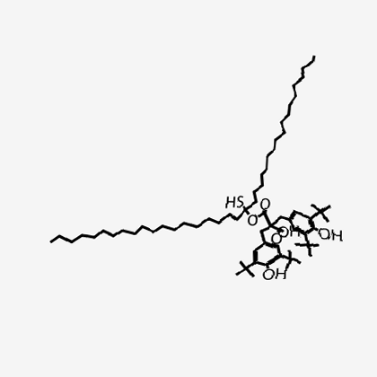 CCCCCCCCCCCCCCCCCCCC(S)(CCCCCCCCCCCCCCCCCC)OC(=O)C(Cc1cc(C(C)(C)C)c(O)c(C(C)(C)C)c1)(Cc1cc(C(C)(C)C)c(O)c(C(C)(C)C)c1)C(=O)O